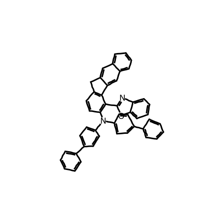 c1ccc(-c2ccc(N(c3ccc(-c4ccccc4)cc3)c3ccc4c(c3-c3nc5ccccc5o3)-c3cc5ccccc5cc3C4)cc2)cc1